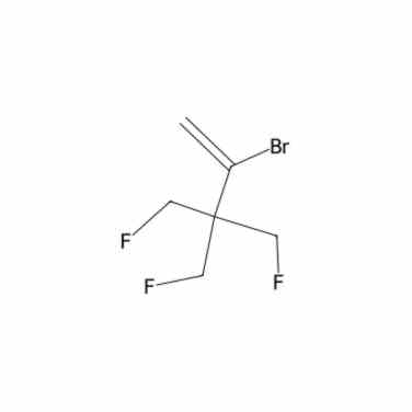 C=C(Br)C(CF)(CF)CF